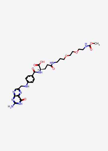 COC(=O)NCCOCCOCCCNC(=O)CC[C@@H](NC(=O)c1ccc(NCc2cnc3nc(N)[nH]c(=O)c3n2)cc1)C(=O)O